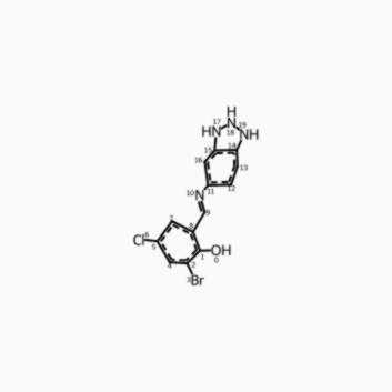 Oc1c(Br)cc(Cl)cc1/C=N/c1ccc2c(c1)NNN2